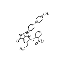 CCc1nc(C(N)=O)c(Nc2ccc(N3CCN(C)CC3)cc2)nc1Oc1ccccc1[N+](=O)[O-]